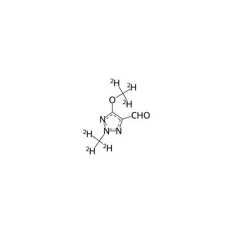 [2H]C([2H])([2H])Oc1nn(C([2H])([2H])[2H])nc1C=O